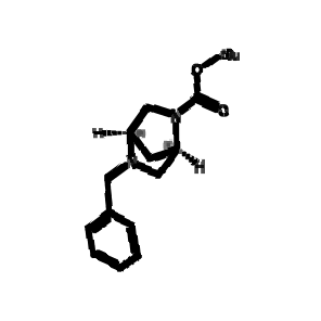 CC(C)(C)OC(=O)N1C[C@H]2C[C@@H]1CN2Cc1ccccc1